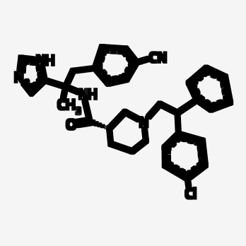 CC(Cc1ccc(C#N)cc1)(NC(=O)[C@H]1CCCN(CC(c2ccccc2)c2ccc(Cl)cc2)C1)c1cnc[nH]1